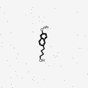 CCCOc1ccc2cc(CCCCO)ccc2c1